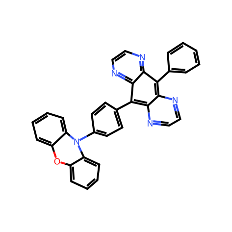 c1ccc(-c2c3nccnc3c(-c3ccc(N4c5ccccc5Oc5ccccc54)cc3)c3nccnc23)cc1